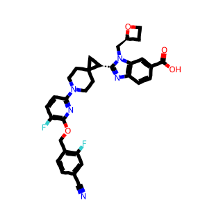 N#Cc1ccc(COc2nc(N3CCC4(CC3)C[C@@H]4c3nc4ccc(C(=O)O)cc4n3C[C@@H]3CCO3)ccc2F)c(F)c1